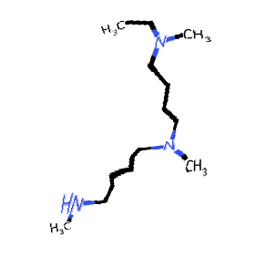 CCN(C)CCCCN(C)CCCCNC